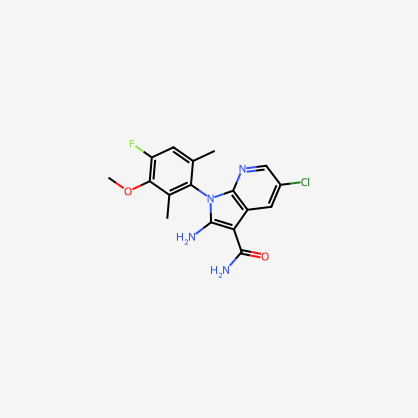 COc1c(F)cc(C)c(-n2c(N)c(C(N)=O)c3cc(Cl)cnc32)c1C